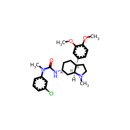 COc1ccc([C@@]23CC[C@@H](NC(=O)N(C)c4cccc(Cl)c4)C[C@@H]2N(C)CC3)cc1OC